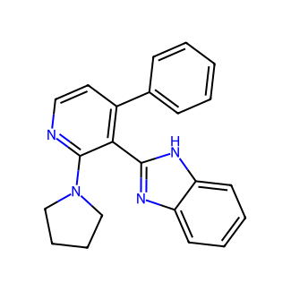 c1ccc(-c2ccnc(N3CCCC3)c2-c2nc3ccccc3[nH]2)cc1